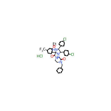 CCOc1cc(C(F)(F)F)ccc1C1(C(=O)N2CCN(Cc3ccccc3)C(=O)C2)NC(c2ccc(Cl)cc2)C(c2ccc(Cl)cc2)N1.Cl